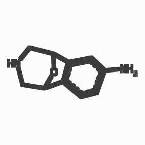 Nc1ccc2c(c1)C1CNCC2O1